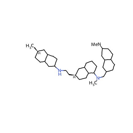 CNC1CCC2CCC(CN(C)C3CCCC4C[C@H](CCNC5CCC6C[C@H](C)CCC6C5)CCC43)CC2C1